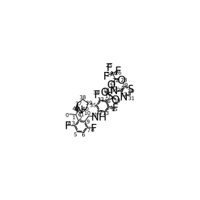 CC(c1c(F)ccc(F)c1CNc1cc(F)c(S(=O)(=O)N(OC(=O)C(F)(F)F)c2cscn2)c(F)c1)N1C2CCC1CC2